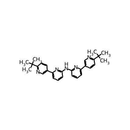 CC(C)(C)c1ccc(-c2cccc(Nc3cccc(-c4ccc(C(C)(C)C)nc4)n3)n2)cn1